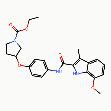 CCOC(=O)N1CCC(Oc2ccc(NC(=O)c3[nH]c4c(OC)cccc4c3C)cc2)C1